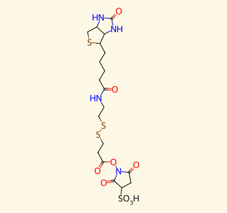 O=C(CCCCC1SCC2NC(=O)NC21)NCCSSCCC(=O)ON1C(=O)CC(S(=O)(=O)O)C1=O